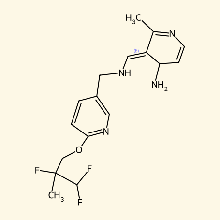 CC1=NC=CC(N)/C1=C\NCc1ccc(OCC(C)(F)C(F)F)nc1